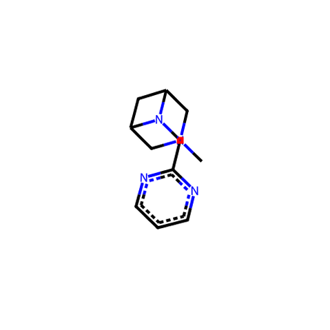 CN1CC2CC(C1)N2Cc1ncccn1